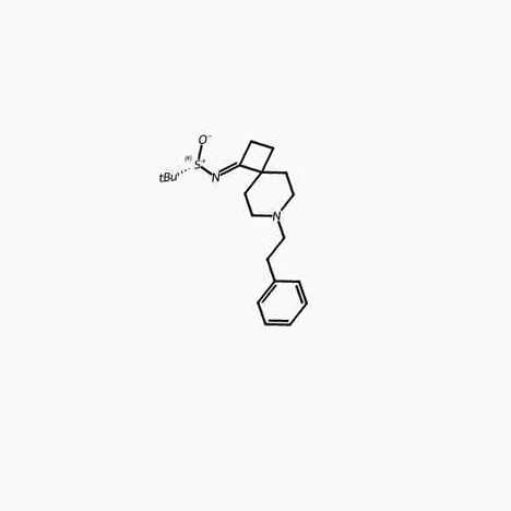 CC(C)(C)[S@+]([O-])N=C1CCC12CCN(CCc1ccccc1)CC2